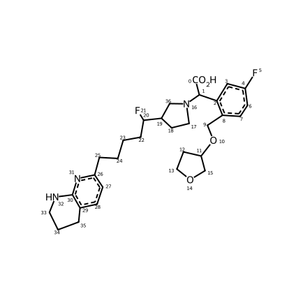 O=C(O)C(c1cc(F)ccc1COC1CCOC1)N1CCC(C(F)CCCCc2ccc3c(n2)NCCC3)C1